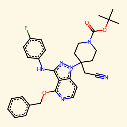 CC(C)(C)OC(=O)N1CCC(CC#N)(n2nc(Nc3ccc(F)cc3)c3c(OCc4ccccc4)nccc32)CC1